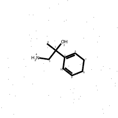 CC(O)(CN)C1=CC[CH]C=C1